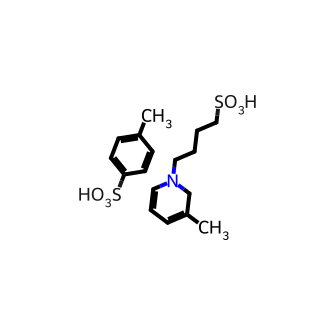 CC1=CC=CN(CCCCS(=O)(=O)O)C1.Cc1ccc(S(=O)(=O)O)cc1